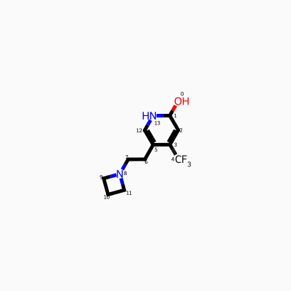 OC1C=C(C(F)(F)F)C(CCN2CCC2)=CN1